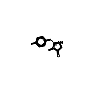 Cc1ccc(C[C@@H]2NCC(=O)N2C)cc1